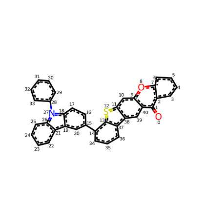 O=c1c2ccccc2oc2cc3sc4c(-c5ccc6c(c5)c5ccccc5n6-c5ccccc5)cccc4c3cc12